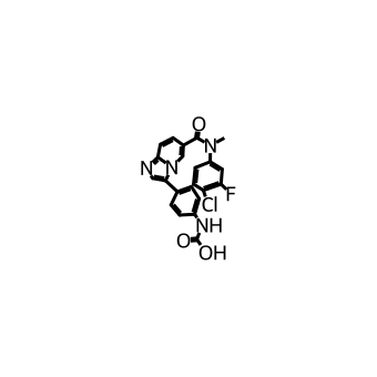 CN(C(=O)c1ccc2ncc(-c3ccc(NC(=O)O)cc3)n2c1)c1ccc(Cl)c(F)c1